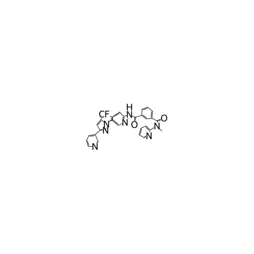 CN(C(=O)c1cccc(C(=O)Nc2ccc(-n3nc(-c4cccnc4)cc3C(F)(F)F)cn2)c1)c1ccccn1